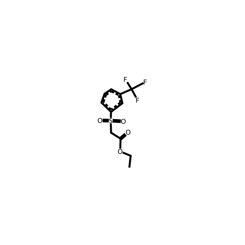 CCOC(=O)CS(=O)(=O)c1cccc(C(F)(F)F)c1